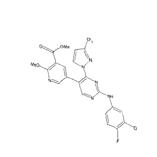 COC(=O)c1cc(-c2cnc(Nc3ccc(F)c(Cl)c3)nc2-n2ccc(C(F)(F)F)n2)cnc1OC